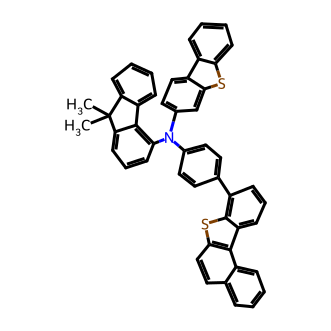 CC1(C)c2ccccc2-c2c(N(c3ccc(-c4cccc5c4sc4ccc6ccccc6c45)cc3)c3ccc4c(c3)sc3ccccc34)cccc21